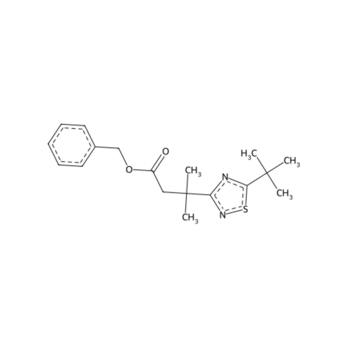 CC(C)(C)c1nc(C(C)(C)CC(=O)OCc2ccccc2)ns1